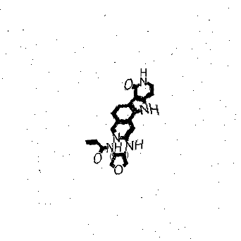 C=CC(=O)N[C@@H]1COC[C@@H]1Nc1cc2c(cn1)CCc1c-2[nH]c2c1C(=O)NCC2